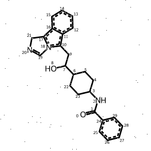 O=C(NC1CCC(C(O)Cc2c3ccccc3c3n2C=NC3)CC1)c1ccccc1